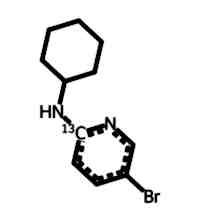 Brc1cc[13c](NC2CCCCC2)nc1